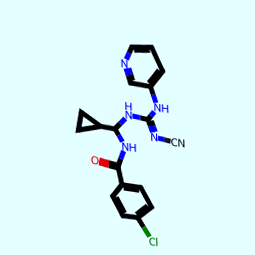 N#C/N=C(\Nc1cccnc1)NC(NC(=O)c1ccc(Cl)cc1)C1CC1